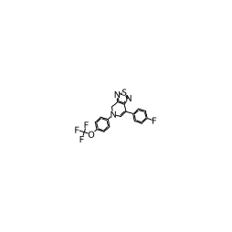 Fc1ccc(C2=CN(c3ccc(OC(F)(F)F)cc3)Cc3nsnc32)cc1